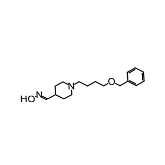 ON=CC1CCN(CCCCOCc2ccccc2)CC1